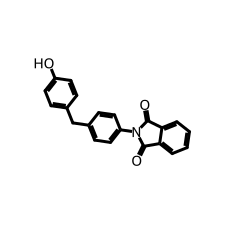 O=C1c2ccccc2C(=O)N1c1ccc(Cc2ccc(O)cc2)cc1